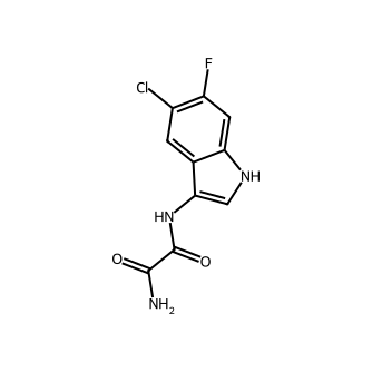 NC(=O)C(=O)Nc1c[nH]c2cc(F)c(Cl)cc12